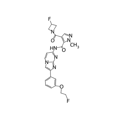 Cn1ncc(C(=O)N2CC(F)C2)c1C(=O)Nc1ccn2cc(-c3cccc(OCCF)c3)nc2n1